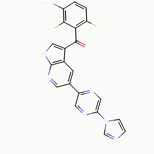 Nc1ccc(F)c(C(=O)c2c[nH]c3ncc(-c4cnc(-n5ccnc5)cn4)cc23)c1F